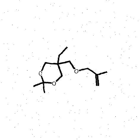 C=C(C)COCC1(CC)COC(C)(C)OC1